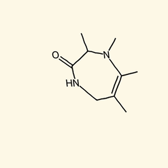 CC1=C(C)N(C)C(C)C(=O)NC1